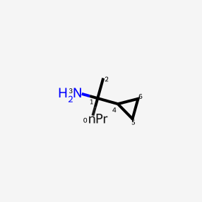 CCCC(C)(N)C1CC1